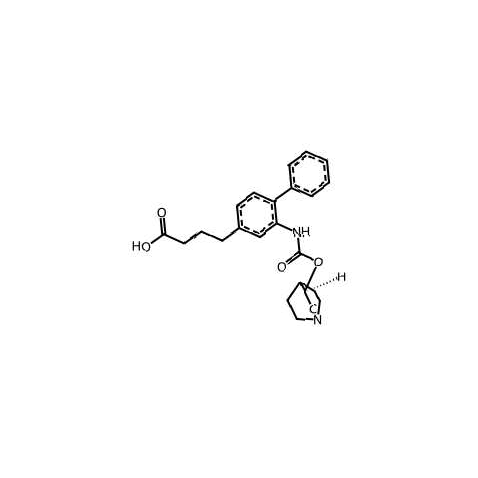 O=C(O)CCCc1ccc(-c2ccccc2)c(NC(=O)O[C@H]2CN3CCC2CC3)c1